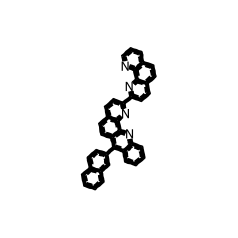 c1ccc2cc(-c3c4ccccc4nc4c3ccc3ccc(-c5ccc6ccc7cccnc7c6n5)nc34)ccc2c1